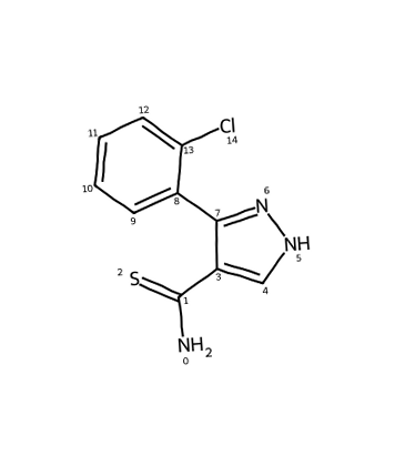 NC(=S)c1c[nH]nc1-c1ccccc1Cl